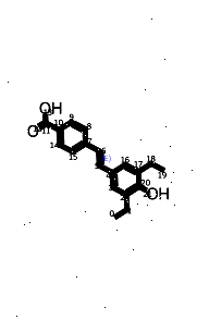 CCc1cc(/C=C/c2ccc(C(=O)O)cc2)cc(CC)c1O